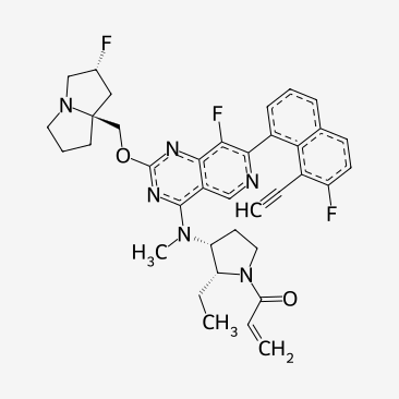 C#Cc1c(F)ccc2cccc(-c3ncc4c(N(C)[C@@H]5CCN(C(=O)C=C)[C@@H]5CC)nc(OC[C@@]56CCCN5C[C@H](F)C6)nc4c3F)c12